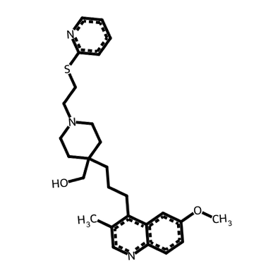 COc1ccc2ncc(C)c(CCCC3(CO)CCN(CCSc4ccccn4)CC3)c2c1